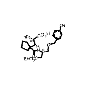 CCC[C@H](CC1(C(=O)N[C@@H](COCc2ccc(C#N)cc2)CC(=O)OCC)CCCC1)C(=O)O